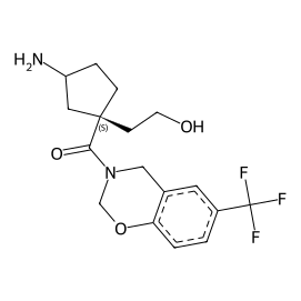 NC1CC[C@](CCO)(C(=O)N2COc3ccc(C(F)(F)F)cc3C2)C1